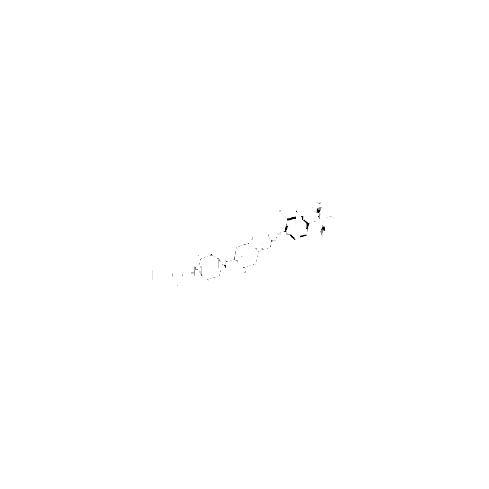 Cc1nc(S(C)(=O)=O)ccc1OCC1CCC(N2CCN(C(=O)O)CC2)CC1